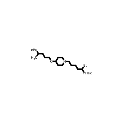 CCCCCCC(CC)CCCCN1CCC(OCCCC(C)CCCC)CC1